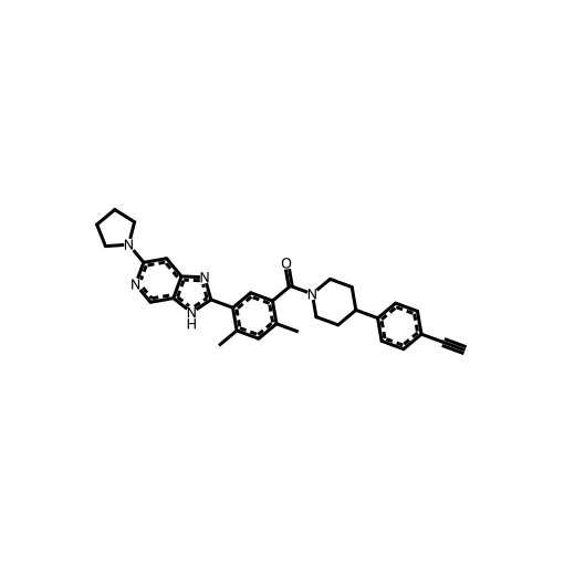 C#Cc1ccc(C2CCN(C(=O)c3cc(-c4nc5cc(N6CCCC6)ncc5[nH]4)c(C)cc3C)CC2)cc1